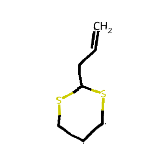 C=CCC1S[CH][CH]CS1